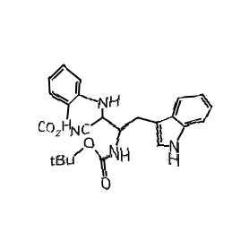 CC(C)(C)OC(=O)NC(Cc1c[nH]c2ccccc12)C(C#N)Nc1ccccc1C(=O)O